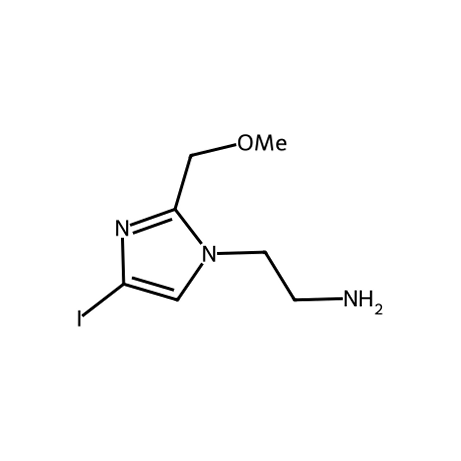 COCc1nc(I)cn1CCN